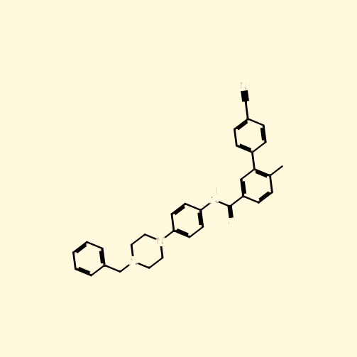 Cc1ccc(C(=O)Nc2ccc(N3CCN(Cc4ccccc4)CC3)cc2)cc1-c1ccc(C#N)cc1